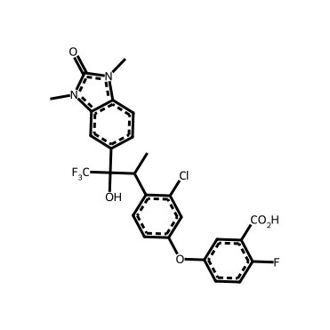 CC(c1ccc(Oc2ccc(F)c(C(=O)O)c2)cc1Cl)C(O)(c1ccc2c(c1)n(C)c(=O)n2C)C(F)(F)F